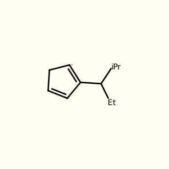 CCC(C1=[C]CC=C1)C(C)C